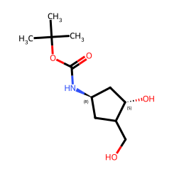 CC(C)(C)OC(=O)N[C@@H]1CC(CO)[C@@H](O)C1